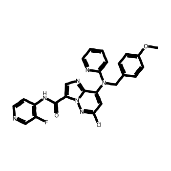 COc1ccc(CN(c2ccccn2)c2cc(Cl)nn3c(C(=O)Nc4ccncc4F)cnc23)cc1